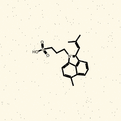 CC(C)=CC1=[N+](CCCS(=O)(=O)O)c2ccc(C)c3cccc1c23